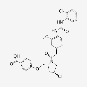 COC1=C(NC(=O)Nc2ccccc2Cl)C=C[C@@H](CC(=O)N2C[C@@H](Cl)C[C@H]2COc2ccc(C(=O)O)cc2)C1